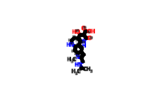 CC(C)NCc1cc2cc3c(cc2n1C)NCCc1c-3[nH]c(=O)c(C(=O)O)c1O